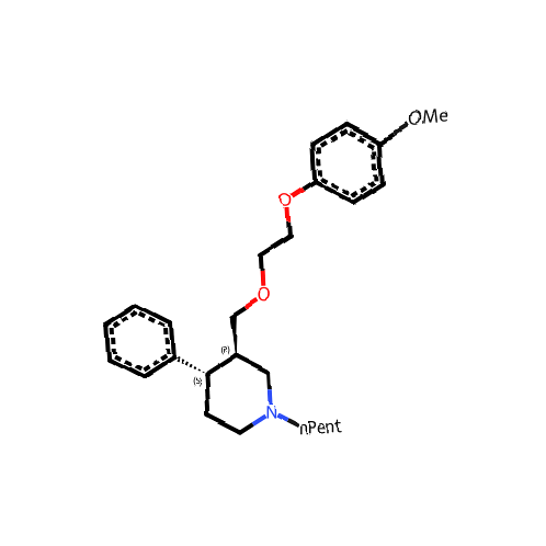 CCCCCN1CC[C@H](c2ccccc2)[C@@H](COCCOc2ccc(OC)cc2)C1